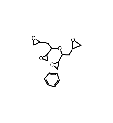 C1OC1CC(OC(CC1CO1)C1CO1)C1CO1.c1ccccc1